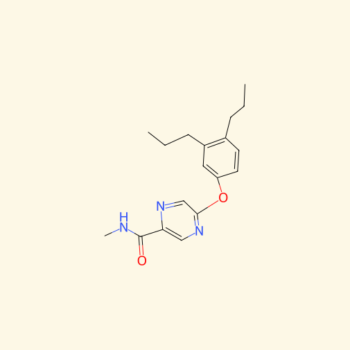 CCCc1ccc(Oc2cnc(C(=O)NC)cn2)cc1CCC